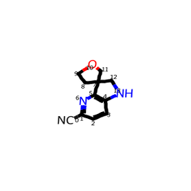 N#Cc1ccc2c(n1)C1(CCOC1)CN2